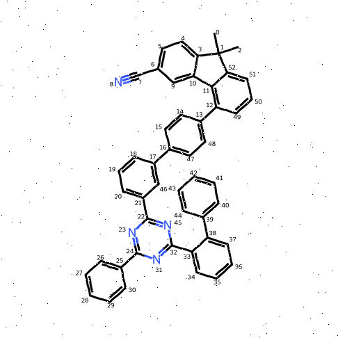 CC1(C)c2ccc(C#N)cc2-c2c(-c3ccc(-c4cccc(-c5nc(-c6ccccc6)nc(-c6ccccc6-c6ccccc6)n5)c4)cc3)cccc21